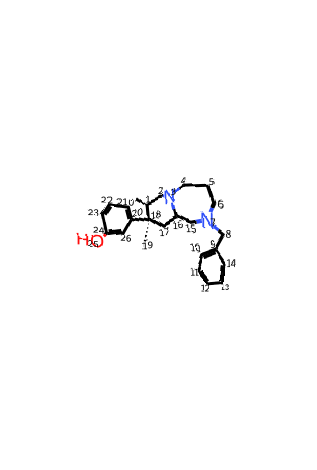 C[C@H]1CN2CCCN(Cc3ccccc3)CC2C[C@@]1(C)c1cccc(O)c1